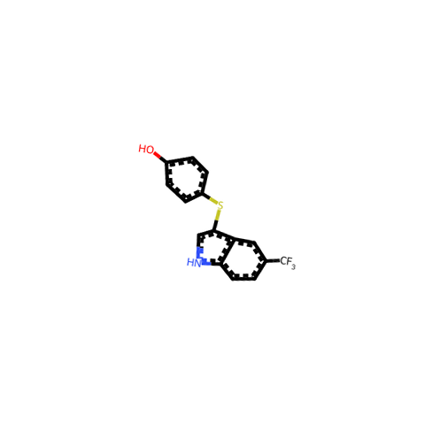 Oc1ccc(Sc2c[nH]c3ccc(C(F)(F)F)cc23)cc1